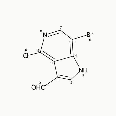 O=Cc1c[nH]c2c(Br)cnc(Cl)c12